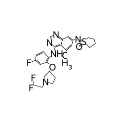 Cc1cc(N=S2(=O)CCCC2)cc2ncnc(Nc3ccc(F)cc3O[C@@H]3CCN(CC(F)F)C3)c12